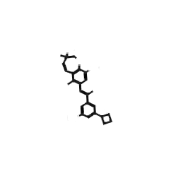 C/C(=C\c1cc(O)c2c(c1C)C=CC(C)(O)CO2)c1cc(O)cc(C2CCC2)c1